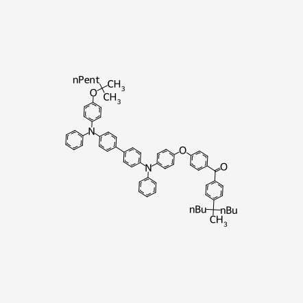 CCCCCC(C)(C)Oc1ccc(N(c2ccccc2)c2ccc(-c3ccc(N(c4ccccc4)c4ccc(Oc5ccc(C(=O)c6ccc(C(C)(CCCC)CCCC)cc6)cc5)cc4)cc3)cc2)cc1